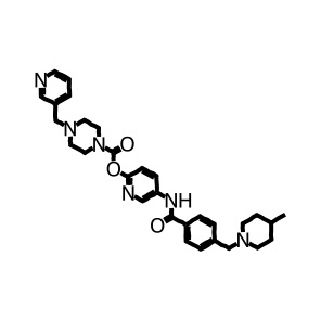 CC1CCN(Cc2ccc(C(=O)Nc3ccc(OC(=O)N4CCN(Cc5cccnc5)CC4)nc3)cc2)CC1